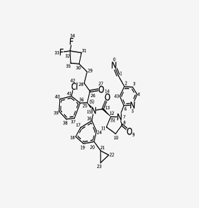 N#Cc1ccnc(N2C(=O)CC[C@H]2C(=O)N(c2cccc(C3CC3)c2)[C@H](C(=O)CCC2CC(F)(F)C2)c2ccccc2Cl)c1